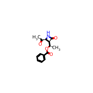 CC(=O)[C@H]1NC(=O)[C@H]1[C@H](C)OC(=O)c1ccccc1